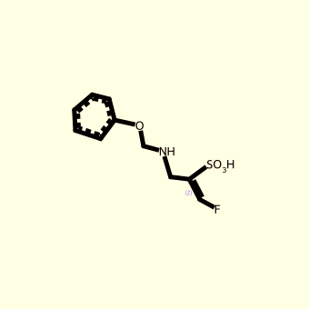 O=S(=O)(O)/C(=C\F)CNCOc1ccccc1